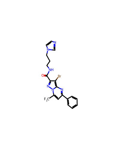 O=C(NCCCn1ccnc1)c1nn2c(C(F)(F)F)cc(-c3ccccc3)nc2c1Br